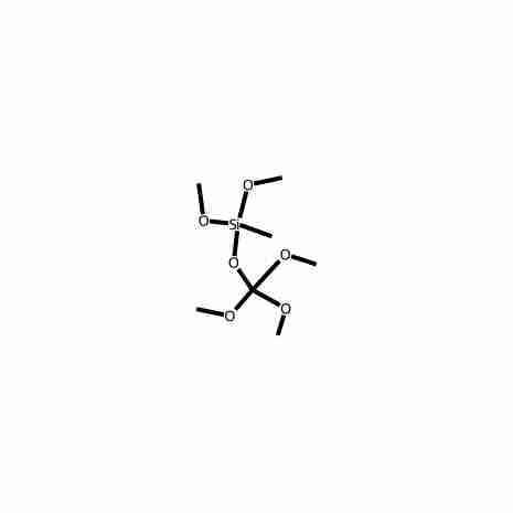 COC(OC)(OC)O[Si](C)(OC)OC